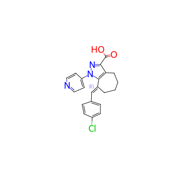 O=C(O)c1nn(-c2ccncc2)c2c1CCCC/C2=C\c1ccc(Cl)cc1